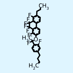 C=CCCc1ccc(C(C)(F)Oc2ccc3c(c2F)C(F)(F)C(F)(F)c2c-3ccc(CCC)c2F)c(F)c1